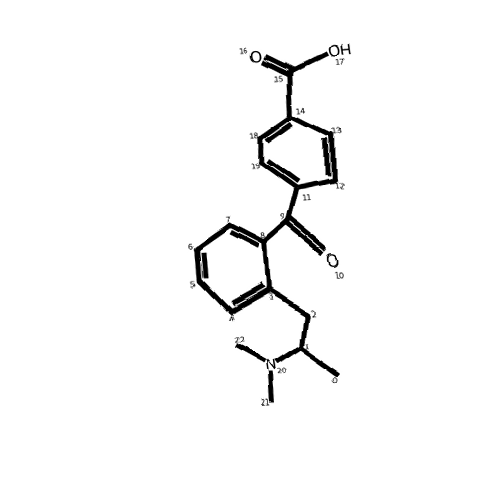 CC(Cc1ccccc1C(=O)c1ccc(C(=O)O)cc1)N(C)C